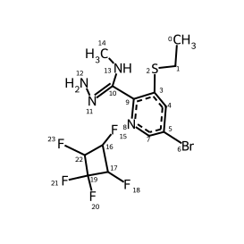 CCSc1cc(Br)cnc1C(=NN)NC.FC1C(F)C(F)(F)C1F